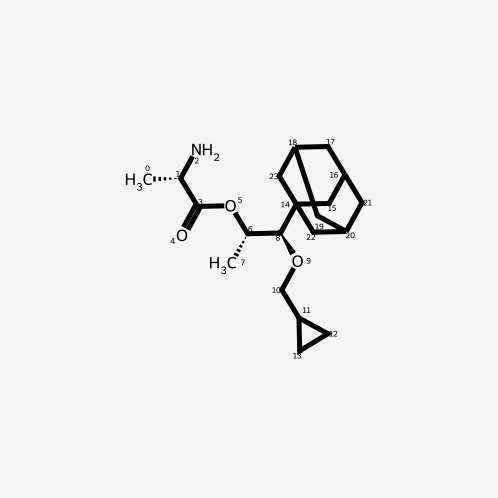 C[C@H](N)C(=O)O[C@@H](C)[C@H](OCC1CC1)C12CC3CC(CC(C3)C1)C2